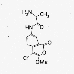 COc1oc(=O)c2cc(NC(=O)C(C)N)ccc2c1Cl